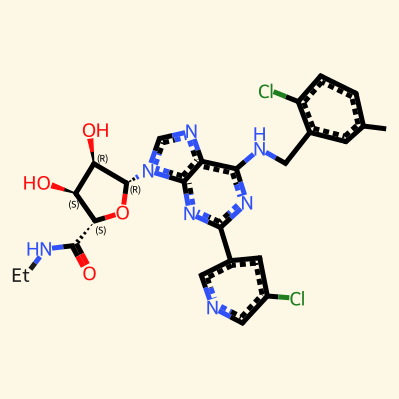 CCNC(=O)[C@H]1O[C@@H](n2cnc3c(NCc4cc(C)ccc4Cl)nc(-c4cncc(Cl)c4)nc32)[C@H](O)[C@@H]1O